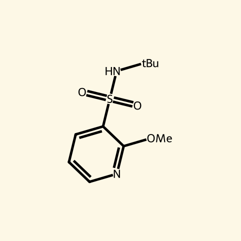 COc1ncccc1S(=O)(=O)NC(C)(C)C